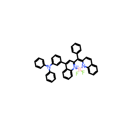 F[B-]1(F)N2C(=C(c3ccccc3)c3cc(-c4cccc(N(c5ccccc5)c5ccccc5)c4)c4ccccc4[n+]31)C=Cc1ccccc12